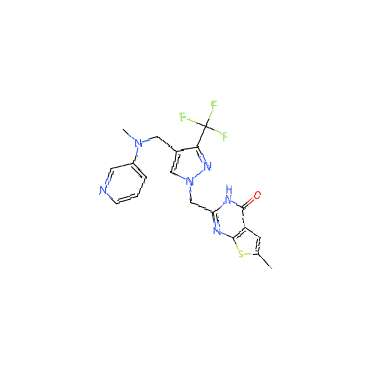 Cc1cc2c(=O)[nH]c(Cn3cc(CN(C)c4cccnc4)c(C(F)(F)F)n3)nc2s1